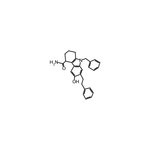 NC(=O)C1CCCc2c1c1cc(O)c(CCc3ccccc3)cc1n2Cc1ccccc1